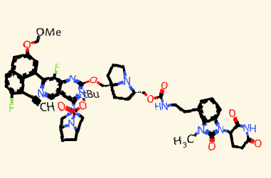 C#Cc1c(F)ccc2cc(OCOC)cc(-c3ncc4c(N5CC6CCC(C5)N6C(=O)OC(C)(C)C)nc(OC[C@@]56CCCN5[C@H](COC(=O)NCCc5cccc7c5n(C)c(=O)n7C5CCC(=O)NC5=O)CC6)nc4c3F)c12